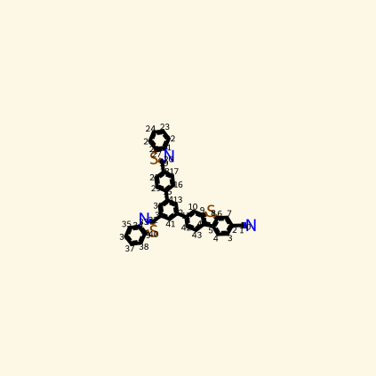 N#Cc1ccc2c(c1)sc1cc(-c3cc(-c4ccc(-c5nc6ccccc6s5)cc4)cc(-c4nc5ccccc5s4)c3)ccc12